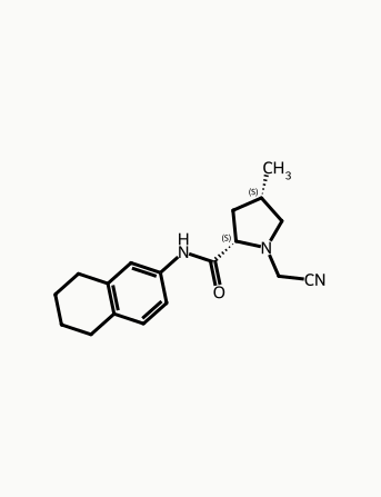 C[C@H]1C[C@@H](C(=O)Nc2ccc3c(c2)CCCC3)N(CC#N)C1